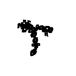 Nc1c(Cl)cc(C[C@@H](OC(=O)N2CCC(N3CCc4ccccc4NC3=O)CC2)C(=O)N2CCC(C3CCN(C(=O)C(=O)OCCN4CCOCC4)CC3)CC2)cc1C(F)(F)F